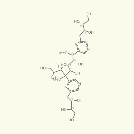 CO[C@@H](c1cncc(C[C@H](O)[C@H](O)CO)n1)[C@H](O)[C@@H](O)C(O)C(OC)(c1cncc(C[C@@H](O)[C@H](O)CO)n1)C(O)C(O)CO